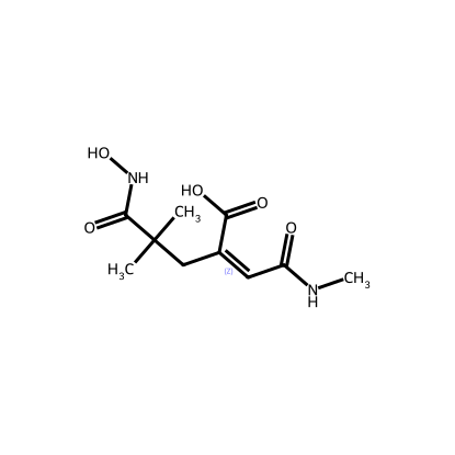 CNC(=O)/C=C(/CC(C)(C)C(=O)NO)C(=O)O